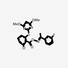 COc1cc(OC)nc(Sc2cccc(Cl)c2C(=O)O/N=C(\C)c2cc#cc(F)c2)n1